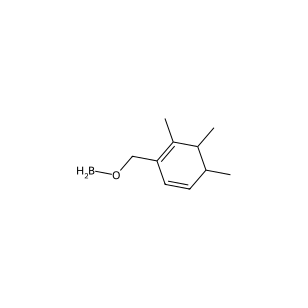 BOCC1=C(C)C(C)C(C)C=C1